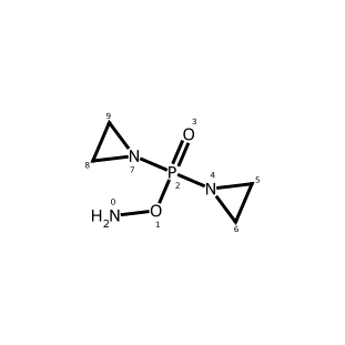 NOP(=O)(N1CC1)N1CC1